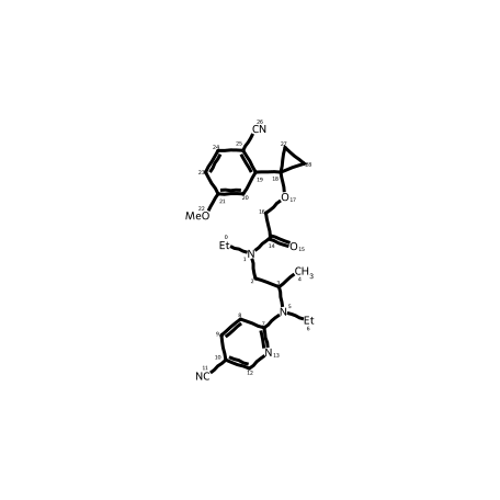 CCN(CC(C)N(CC)c1ccc(C#N)cn1)C(=O)COC1(c2cc(OC)ccc2C#N)CC1